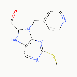 CSc1ncc2c(n1)N(Cc1ccncc1)C(C=O)N2